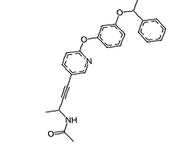 CC(=O)NC(C)C#Cc1ccc(Oc2cccc(OC(C)c3ccccc3)c2)nc1